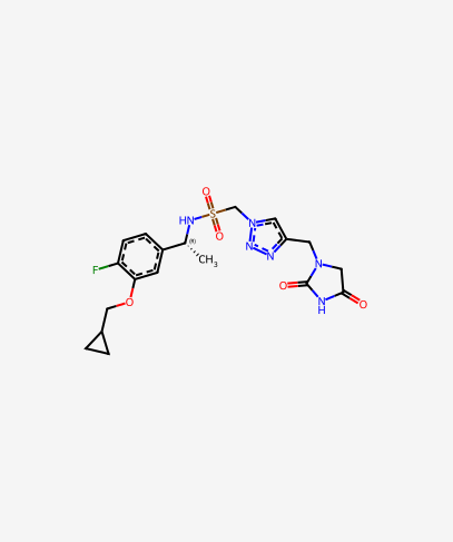 C[C@@H](NS(=O)(=O)Cn1cc(CN2CC(=O)NC2=O)nn1)c1ccc(F)c(OCC2CC2)c1